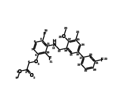 COC(=O)COc1ccc(F)c(NCc2cc(-c3cccc(F)c3)cc(C)c2OC)c1F